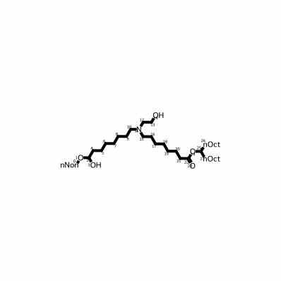 CCCCCCCCCOC(O)CCCCCCCN(CCO)CCCCCCCC(=O)OC(CCCCCCCC)CCCCCCCC